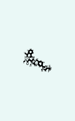 CNC(=O)c1nc(-c2ccccc2C(C)C)nc2c1n(C)c(=N)n2Cc1ccc(-c2nc(C(F)(F)F)cn2C)cc1